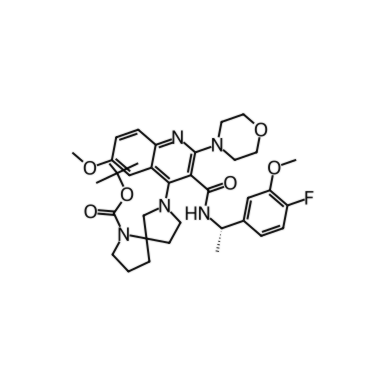 COc1ccc2nc(N3CCOCC3)c(C(=O)N[C@@H](C)c3ccc(F)c(OC)c3)c(N3CCC4(CCCN4C(=O)OC(C)(C)C)C3)c2c1